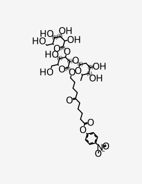 CC1O[C@@H](O[C@H]2C(O[C@H]3OC(CO)[C@H](O)[C@H](O)C3O)[C@@H](O)C(CO)O[C@H]2OCCCCC(=O)CCCCC(=O)Oc2ccc([N+](=O)[O-])cc2)C[C@@H](O)[C@@H]1O